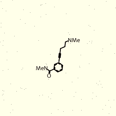 CNCCCC#Cc1cccc(C(=O)NC)c1